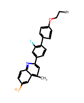 Cc1cc(-c2ccc(-c3ccc(OCCC(C)C)cc3)c(F)c2)nc2ccc(P)cc12